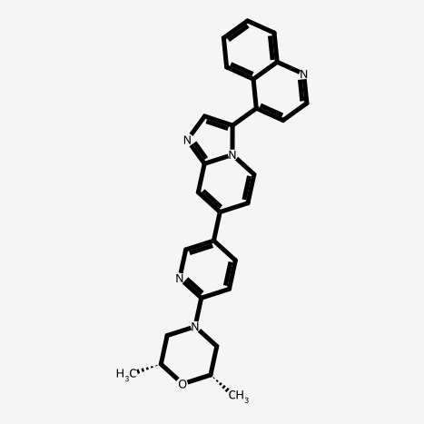 C[C@@H]1CN(c2ccc(-c3ccn4c(-c5ccnc6ccccc56)cnc4c3)cn2)C[C@H](C)O1